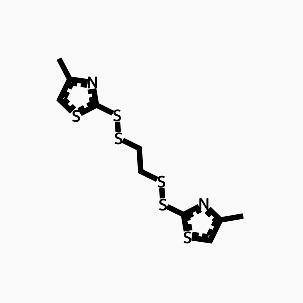 Cc1csc(SSCCSSc2nc(C)cs2)n1